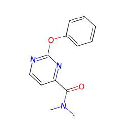 CN(C)C(=O)c1ccnc(Oc2ccccc2)n1